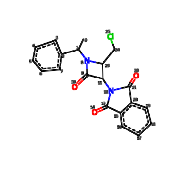 CC(c1ccccc1)N1C(=O)C(N2C(=O)c3ccccc3C2=O)C1CCl